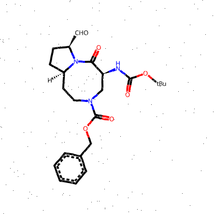 CC(C)(C)OC(=O)N[C@H]1CN(C(=O)OCc2ccccc2)CC[C@H]2CC[C@@H](C=O)N2C1=O